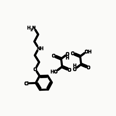 NCCNCCOc1ccccc1Cl.O=C(O)C(=O)O.O=C(O)C(=O)O